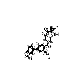 COc1cc(-c2ccc3c(c2)NCS3)ccc1C(=O)N1CCN(C(=O)C2(O)CC2)CC1